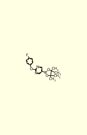 CC1(C)OB(c2cnc(Oc3ccc(F)cc3)nc2)OC1(C)C